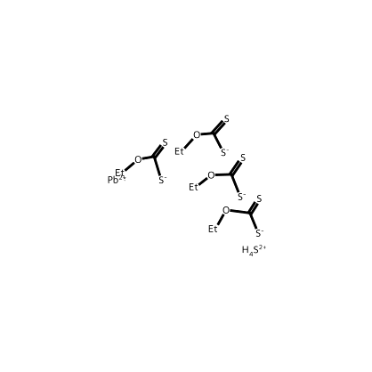 CCOC(=S)[S-].CCOC(=S)[S-].CCOC(=S)[S-].CCOC(=S)[S-].[Pb+2].[SH4+2]